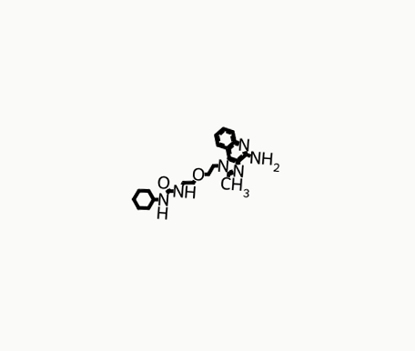 Cc1nc2c(N)nc3ccccc3c2n1CCOCCNC(=O)NC1CCCCC1